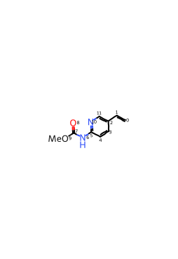 C=Cc1ccc(NC(=O)OC)nc1